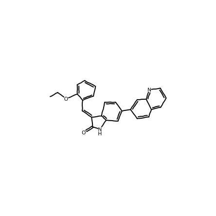 CCOc1ccccc1/C=C1/C(=O)Nc2cc(-c3ccc4cccnc4c3)ccc21